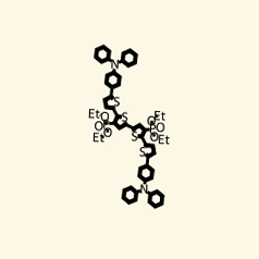 CCOP(=O)(OCC)c1cc(-c2cc(P(=O)(OCC)OCC)c(-c3ccc(-c4ccc(N(c5ccccc5)c5ccccc5)cc4)s3)s2)sc1-c1ccc(-c2ccc(N(c3ccccc3)c3ccccc3)cc2)s1